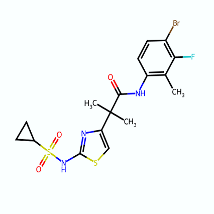 Cc1c(NC(=O)C(C)(C)c2csc(NS(=O)(=O)C3CC3)n2)ccc(Br)c1F